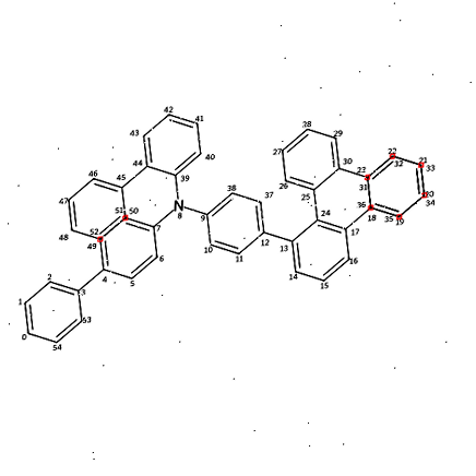 c1ccc(-c2ccc(N(c3ccc(-c4cccc(-c5ccccc5)c4-c4ccccc4-c4ccccc4)cc3)c3ccccc3-c3ccccc3)cc2)cc1